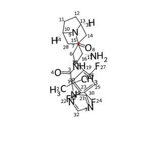 CC(C)(C(=O)NCC(=O)N1[C@@H]2CC[C@H]1CC([C@H](N)Cc1cc(F)c(F)cc1F)C2)n1cncn1